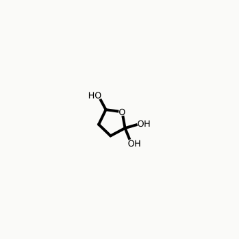 OC1CCC(O)(O)O1